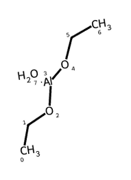 CC[O][Al][O]CC.O